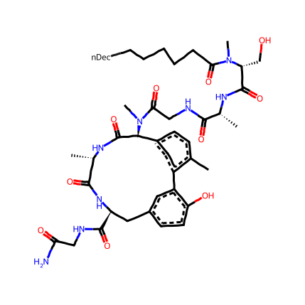 CCCCCCCCCCCCCCCC(=O)N(C)[C@H](CO)C(=O)N[C@H](C)C(=O)NCC(=O)N(C)[C@@H]1C(=O)N[C@@H](C)C(=O)N[C@H](C(=O)NCC(N)=O)Cc2ccc(O)c(c2)-c2cc1ccc2C